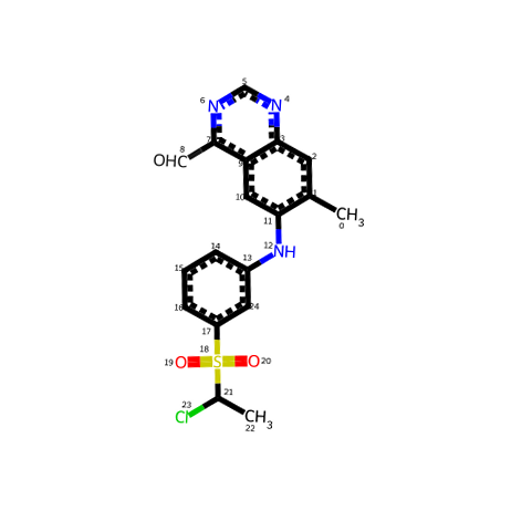 Cc1cc2ncnc(C=O)c2cc1Nc1cccc(S(=O)(=O)C(C)Cl)c1